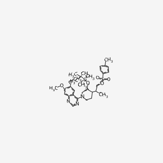 COc1cc2ncnc(N3CCC(C(C)COS(=O)(=O)c4ccc(C)cc4)C(O[Si](C)(C)C(C)(C)C)C3)c2cc1OC